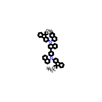 CCC1(CC)c2ccccc2-c2ccc(N(c3ccc(-c4ccc(N(c5ccc6c(c5)C(CC)(CC)c5ccccc5-6)c5cccc6ccccc56)c5ccccc45)cc3)c3cccc4ccccc34)cc21